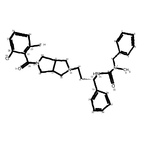 CN(Cc1ccccc1)C(=O)N[C@@H](CCN1CC2CN(C(=O)c3c(F)cccc3Cl)CC2C1)c1ccccc1